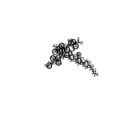 C=C(C)C(=O)OCCCc1cc(-c2ccc(C3CCC(CCCCC)CC3)cc2F)ccc1OCC(COC(=O)C(=C)C)(COC(=O)C(=O)CCOC)COC(=O)C(=O)CCOC